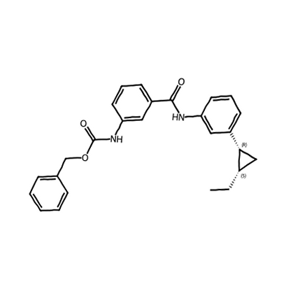 CC[C@H]1C[C@H]1c1cccc(NC(=O)c2cccc(NC(=O)OCc3ccccc3)c2)c1